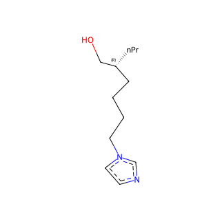 CCC[C@@H](CO)CCCCn1ccnc1